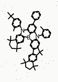 Cc1cc(C(C)(C)C)ccc1N1c2cc3c(cc2B2c4cc5c(cc4N(c4ccccc4C)c4cc(-c6ccccc6)cc1c42)C(C)(C)c1cc2c(cc1-5)C(C)(C)CCC2(C)C)C(C)(C)CCC3(C)C